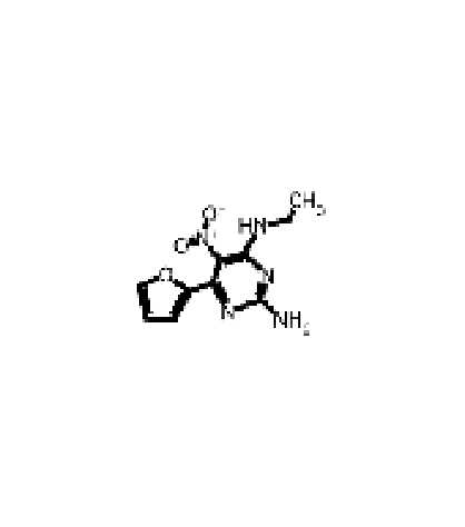 CCNc1nc(N)nc(-c2ccco2)c1[N+](=O)[O-]